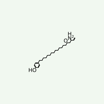 C=CC(N)CC(=O)CCCCCCCCCCCCCCc1ccc(O)cc1